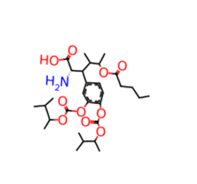 CCCCC(=O)OC(C)C(C)C(c1ccc(OC(=O)OC(C)C(C)C)c(OC(=O)OC(C)C(C)C)c1)[C@H](N)C(=O)O